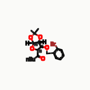 CCCCC(=O)[C@H]1O[C@@H]2OC(C)(C)O[C@@H]2[C@H]1OCc1ccccc1Br